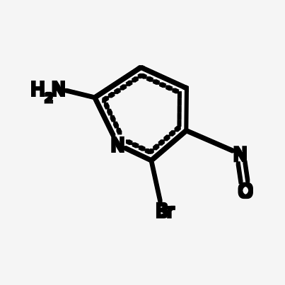 Nc1ccc(N=O)c(Br)n1